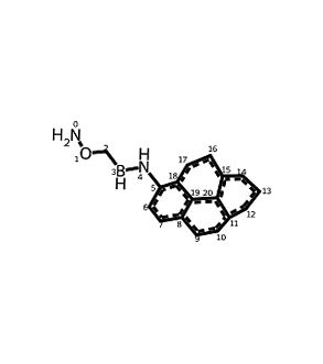 NOCBNc1ccc2ccc3cccc4ccc1c2c34